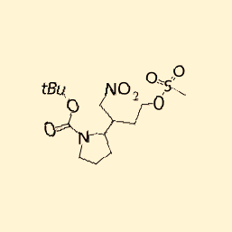 CC(C)(C)OC(=O)N1CCCC1C(CCOS(C)(=O)=O)C[N+](=O)[O-]